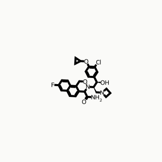 NC(=O)C1c2ccc3cc(F)ccc3c2CON1[C@H](CN1CCC1)[C@H](O)c1ccc(OC2CC2)c(Cl)c1